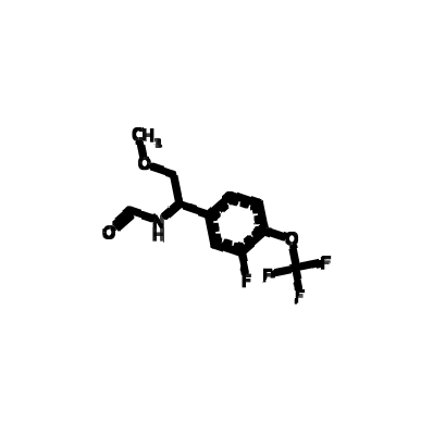 COCC(NC=O)c1ccc(OC(F)(F)F)c(F)c1